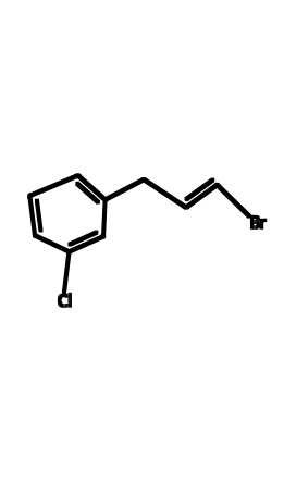 Clc1cccc(CC=CBr)c1